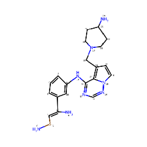 NS/C=C(\N)c1cccc(Nc2ncnn3ccc(CN4CCC(N)CC4)c23)c1